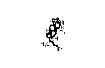 [2H]C1([2H])C[C@]2(C)[C@H]3CC[C@]4(C)[C@@H]([C@H](C)CCCC(C)C)CC[C@H]4[C@@H]3CC[C@H]2C([2H])([2H])[C@@]1([2H])O